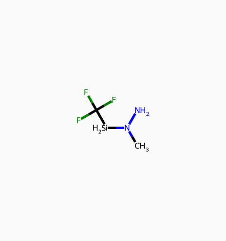 CN(N)[SiH2]C(F)(F)F